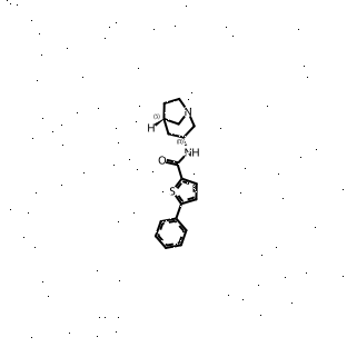 O=C(N[C@@H]1C[C@@H]2CCN(C2)C1)c1ccc(-c2ccccc2)s1